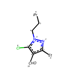 CCc1nn(CCC(C)C)c(Cl)c1C=O